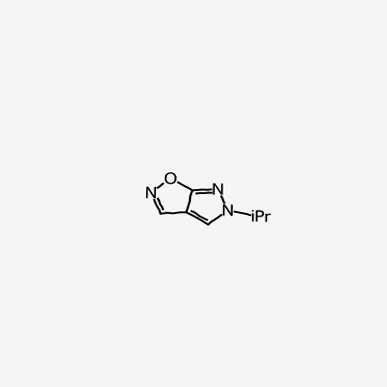 CC(C)n1cc2cnoc2n1